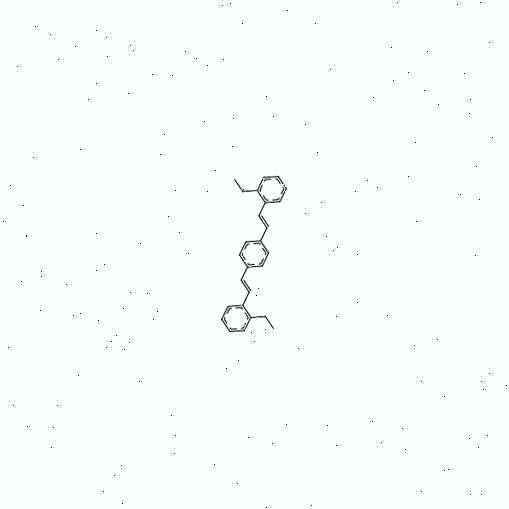 CCc1ccccc1/C=C/c1ccc(/C=C/c2ccccc2CC)cc1